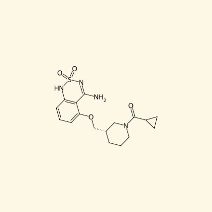 NC1=NS(=O)(=O)Nc2cccc(OC[C@H]3CCCN(C(=O)C4CC4)C3)c21